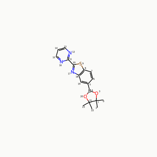 CC1(C)OB(c2ccc3sc(-c4ncccn4)nc3c2)OC1(C)C